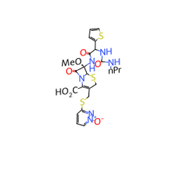 CCCNC(=O)NC(C(=O)N[C@@]1(OC)C(=O)N2C(C(=O)O)=C(CSc3ccc[n+]([O-])n3)CSC21)c1cccs1